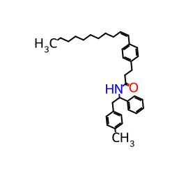 CCCCCCCCC/C=C\c1ccc(CCC(=O)NC(Cc2ccc(C)cc2)c2ccccc2)cc1